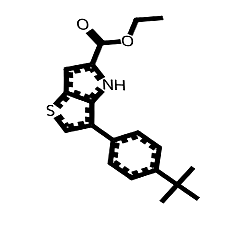 CCOC(=O)c1cc2scc(-c3ccc(C(C)(C)C)cc3)c2[nH]1